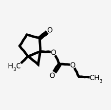 CCOC(=O)OC12CC1(C)CCC2=O